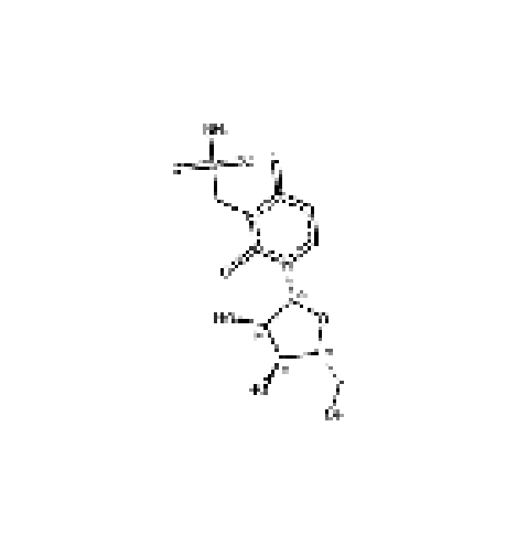 NS(=O)(=O)Cn1c(=O)ccn([C@@H]2O[C@H](CO)[C@@H](O)[C@H]2O)c1=O